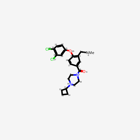 CNCc1cc(C(=O)N2CCN(C3CCC3)CC2)ccc1Oc1ccc(Cl)c(Cl)c1